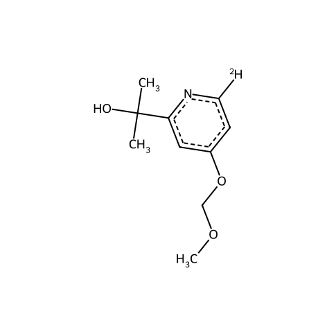 [2H]c1cc(OCOC)cc(C(C)(C)O)n1